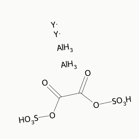 O=C(OS(=O)(=O)O)C(=O)OS(=O)(=O)O.[AlH3].[AlH3].[Y].[Y]